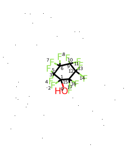 OC1(F)C(F)(F)C(F)(F)C(F)(F)C(F)(F)C1(F)F